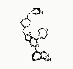 c1cc(-c2nc(N3CCOCC3)c3sc(CN4CCC(Cn5ccnc5)CC4)cc3n2)c2cn[nH]c2c1